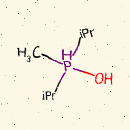 CC(C)[PH](C)(O)C(C)C